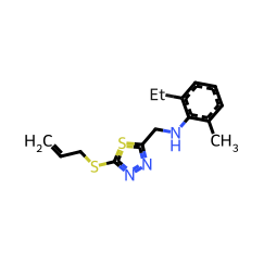 C=CCSc1nnc(CNc2c(C)cccc2CC)s1